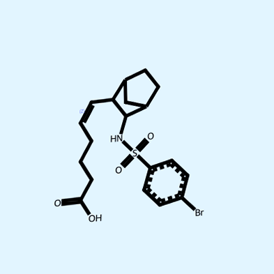 O=C(O)CCC/C=C\C1C2CCC(C2)C1NS(=O)(=O)c1ccc(Br)cc1